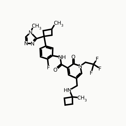 CC1CC(c2ccc(F)c(NC(=O)c3cc(CNC4(C)CCC4)cn(CC(F)(F)F)c3=O)c2)(c2nncn2C)C1